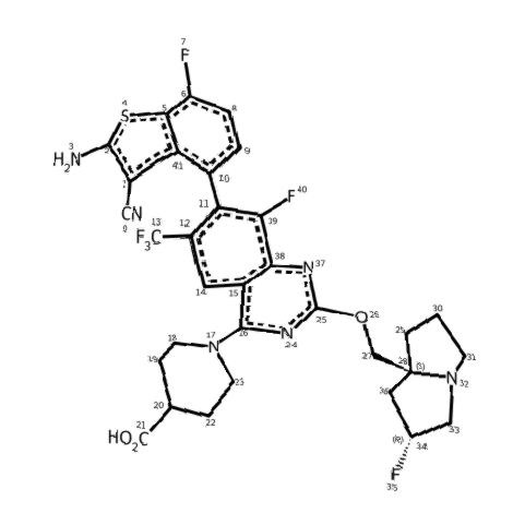 N#Cc1c(N)sc2c(F)ccc(-c3c(C(F)(F)F)cc4c(N5CCC(C(=O)O)CC5)nc(OC[C@@]56CCCN5C[C@H](F)C6)nc4c3F)c12